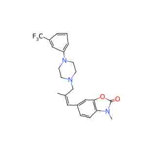 CC(=Cc1ccc2c(c1)oc(=O)n2C)CN1CCN(c2cccc(C(F)(F)F)c2)CC1